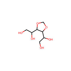 OCC(O)C1OCOC1C(O)CO